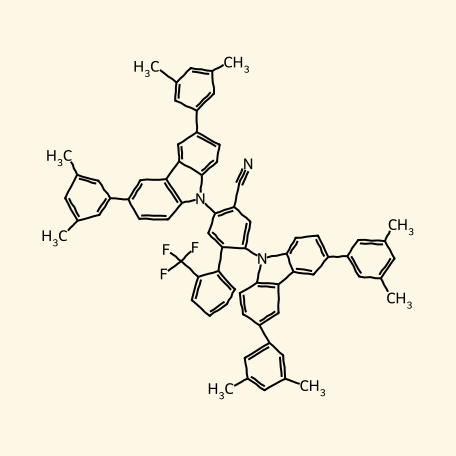 Cc1cc(C)cc(-c2ccc3c(c2)c2cc(-c4cc(C)cc(C)c4)ccc2n3-c2cc(-c3ccccc3C(F)(F)F)c(-n3c4ccc(-c5cc(C)cc(C)c5)cc4c4cc(-c5cc(C)cc(C)c5)ccc43)cc2C#N)c1